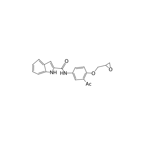 CC(=O)c1cc(NC(=O)c2cc3ccccc3[nH]2)ccc1OCC1CO1